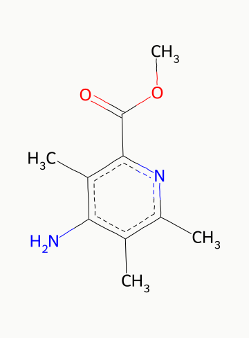 COC(=O)c1nc(C)c(C)c(N)c1C